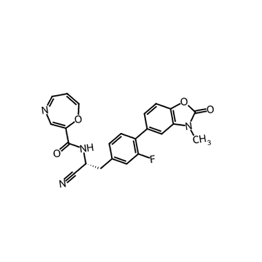 Cn1c(=O)oc2ccc(-c3ccc(C[C@H](C#N)NC(=O)C4=CN=CC=CO4)cc3F)cc21